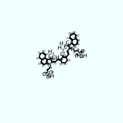 CC1(C)C(/C=C/C2=C(Cl)C(=C/C=C3/N(CCS(=O)(=O)O)c4ccc5c(c4C3(C)C)C=CCC5)/CCC2)=[N+](CCS(=O)(=O)O)c2ccc3ccccc3c21